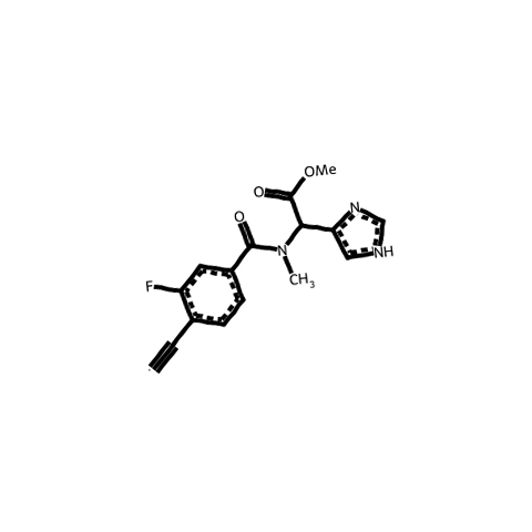 [C]#Cc1ccc(C(=O)N(C)C(C(=O)OC)c2c[nH]cn2)cc1F